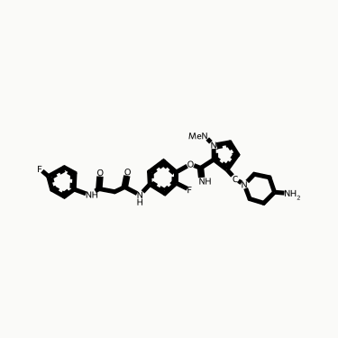 CNn1ccc(CN2CCC(N)CC2)c1C(=N)Oc1ccc(NC(=O)CC(=O)Nc2ccc(F)cc2)cc1F